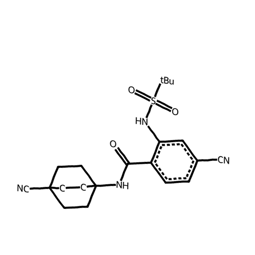 CC(C)(C)S(=O)(=O)Nc1cc(C#N)ccc1C(=O)NC12CCC(C#N)(CC1)CC2